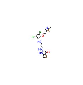 Cc1ncc(CCOc2c(Br)cc(Br)cc2CNCCCNc2cc(=O)c3sccc3[nH]2)s1